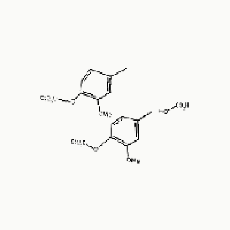 CCOC(=O)Oc1ccc(C)cc1OC.CCOC(=O)Oc1ccc(C)cc1OC.O=C(O)O